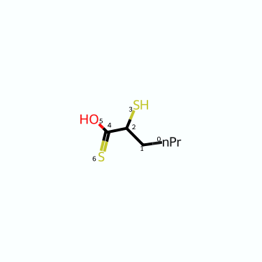 CCCCC(S)C(O)=S